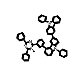 CN1C(c2cccc(-c3cccc4c3c3cc(-c5ccc6c(c5)c5ccccc5n6-c5ccccc5)ccc3n4-c3ccccc3)c2)=NC(c2ccccc2)=NC1c1ccccc1